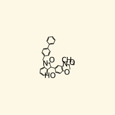 CN1C(=O)COc2cc(O)c(C3C(=O)N(Cc4ccc(-c5ccccc5)cc4)c4ccccc43)cc21